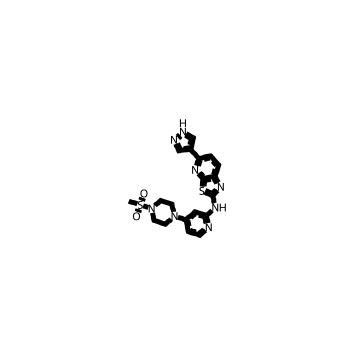 CS(=O)(=O)N1CCN(c2ccnc(Nc3nc4ccc(-c5cn[nH]c5)nc4s3)c2)CC1